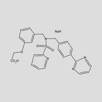 O=C(O)COc1cccc(CN(Cc2ccc(-c3ncccn3)cc2)S(=O)(=O)c2ccccn2)c1.[NaH]